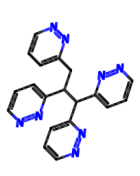 c1cnnc(CC(c2cccnn2)C(c2cccnn2)c2cccnn2)c1